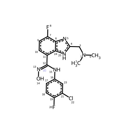 CN(C)Cc1nc2c(F)ccc(/C(=N/O)Nc3ccc(F)c(Cl)c3)c2[nH]1